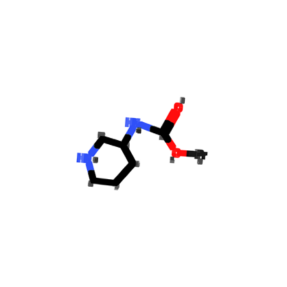 CC(C)OC(=O)NC1CCCNC1